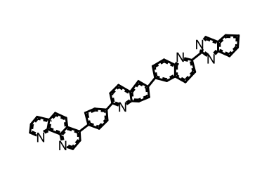 c1ccc2nc(-c3ccc4cc(-c5ccc6nc(-c7ccc(-c8ccnc9c8ccc8cccnc89)cc7)ccc6c5)ccc4n3)ncc2c1